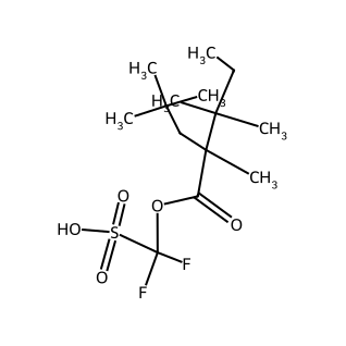 CCC(C)(C)C(C)(CC(C)(C)C)C(=O)OC(F)(F)S(=O)(=O)O